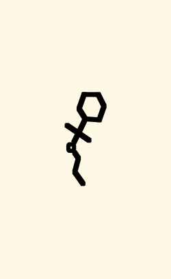 CCCOC(C)(C)C1CCCCC1